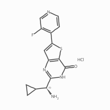 Cl.N[C@H](c1nc2cc(-c3ccncc3F)sc2c(=O)[nH]1)C1CC1